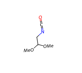 CO[C](CN=C=O)OC